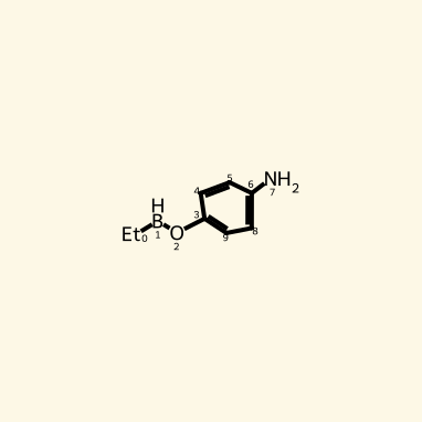 CCBOc1ccc(N)cc1